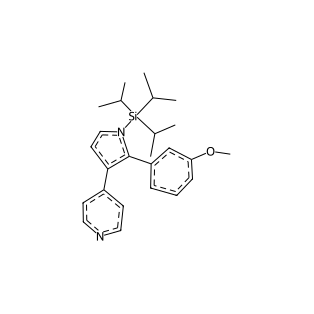 COc1cccc(-c2c(-c3ccncc3)ccn2[Si](C(C)C)(C(C)C)C(C)C)c1